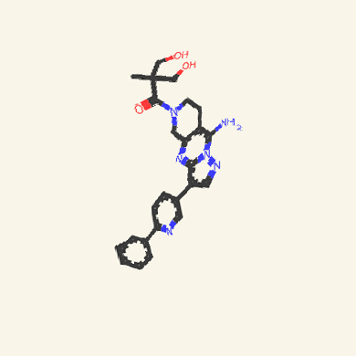 CC(CO)(CO)C(=O)N1CCc2c(nc3c(-c4ccc(-c5ccccc5)nc4)cnn3c2N)C1